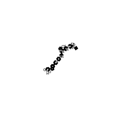 CCC1(C(=O)NC2CCC2)CCN(c2ccc(-c3nc(-c4cnn(C5CCC(N6CCC(c7ccc8c(c7)CCN8C7CCC(=O)NC7=O)CC6)CC5)c4)cn4ncc(C#N)c34)cn2)CC1